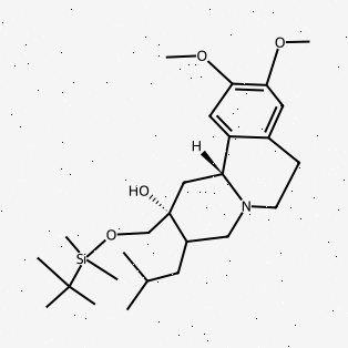 COc1cc2c(cc1OC)[C@H]1C[C@](O)(CO[Si](C)(C)C(C)(C)C)C(CC(C)C)CN1CC2